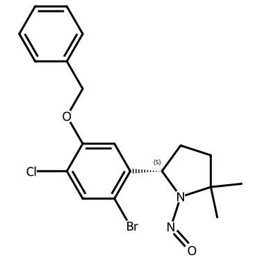 CC1(C)CC[C@@H](c2cc(OCc3ccccc3)c(Cl)cc2Br)N1N=O